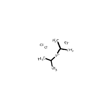 C[CH](C)[V+3][CH](C)C.[Cl-].[Cl-].[Cl-]